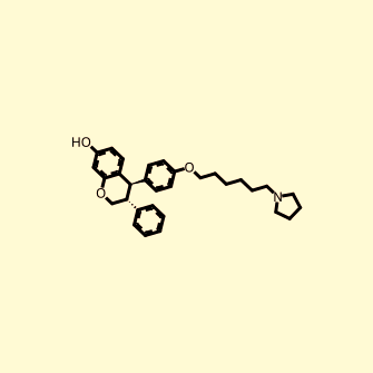 Oc1ccc2c(c1)OC[C@@H](c1ccccc1)[C@@H]2c1ccc(OCCCCCCN2CCCC2)cc1